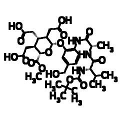 COC(=O)[C@H]1O[C@@H](Oc2cc(CO)ccc2NC(=O)[C@H](C)NC(=O)[C@@H](NC(=O)OC(C)(C)C)C(C)C)[C@H](CC(=O)O)[C@@H](CC(=O)O)[C@@H]1CC(=O)O